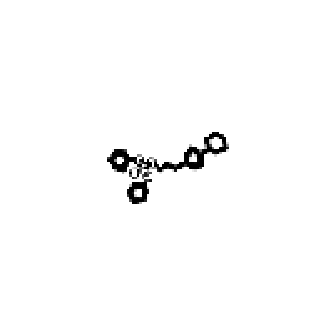 O=P(OCCCc1ccc(C2CCCCC2)cc1)(Oc1ccccc1)Oc1ccccc1